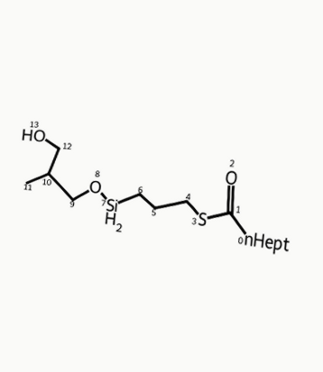 CCCCCCCC(=O)SCCC[SiH2]OCC(C)CO